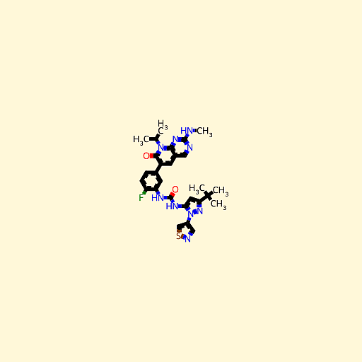 CNc1ncc2cc(-c3ccc(F)c(NC(=O)Nc4cc(C(C)(C)C)nn4-c4cnsc4)c3)c(=O)n(C(C)C)c2n1